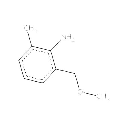 COCc1cccc(C)c1N